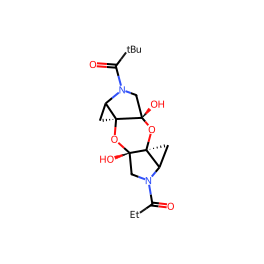 CCC(=O)N1C[C@]2(O)O[C@@]34CC3N(C(=O)C(C)(C)C)C[C@]4(O)O[C@]23CC13